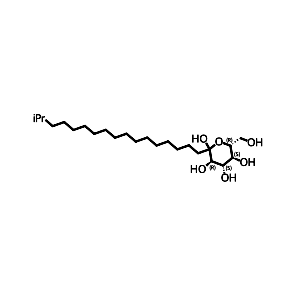 CC(C)CCCCCCCCCCCCCCCC1(O)O[C@H](CO)[C@@H](O)[C@H](O)[C@H]1O